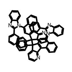 c1ccc(-c2nc3ccccc3n2-c2cc3c(c4ccccc24)-c2ncccc2C3(c2ccccc2)C2(c3ccccc3)c3cccnc3-c3c2cc(-n2c(-c4ccccc4)nc4ccccc42)c2ccccc32)cc1